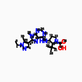 CCn1ncc(-c2nc3c(NC4CCN(C(=O)O)C4C(C)(C)C)ncnc3n2C)c1C